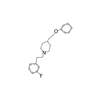 Fc1cccc(CCN2CCC(CCOc3ccccc3)CC2)c1